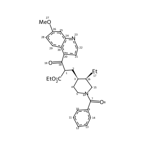 CCOC(=O)C(C[C@@H]1CCN(C(=O)c2ccccc2)C[C@@H]1CC)C(=O)c1ccnc2cc(OC)ccc12